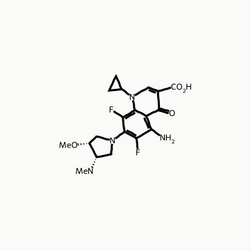 CN[C@H]1CN(c2c(F)c(N)c3c(=O)c(C(=O)O)cn(C4CC4)c3c2F)C[C@H]1OC